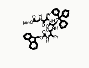 COC(=O)CNC(=O)C(NC(=O)C(CSC(c1ccccc1)(c1ccccc1)c1ccccc1)NC(=O)C(NC(=O)OCC1c2ccccc2-c2ccccc21)C(C)C)C(C)C